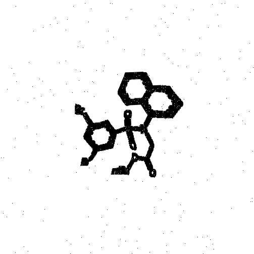 CCCCOC(=O)CN(c1cccc2ccccc12)S(=O)(=O)c1cc(Br)cc(Br)c1